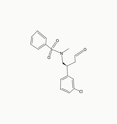 CN(C[C@@H](CC=O)c1cccc(Cl)c1)S(=O)(=O)c1ccccc1